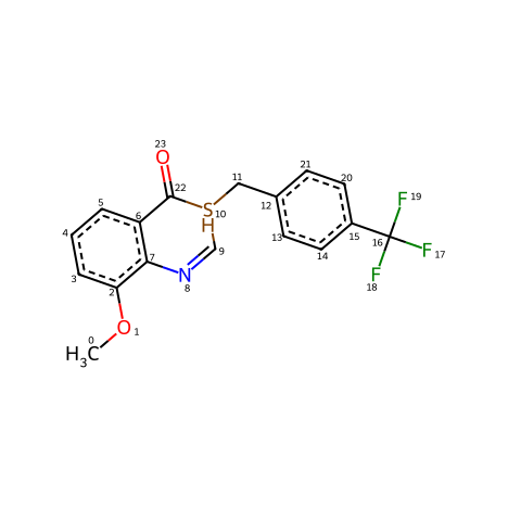 COc1cccc2c1N=C[SH](Cc1ccc(C(F)(F)F)cc1)C2=O